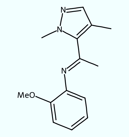 COc1ccccc1N=C(C)c1c(C)cnn1C